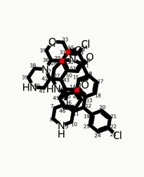 O=C1COCC(N2CCNCC2C(c2ccccc2)c2ccc(Cl)cc2)NCCC2(N1)C(=O)COCC2N1CCNCC1C(c1ccccc1)c1ccc(Cl)cc1